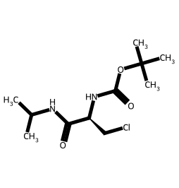 CC(C)NC(=O)[C@H](CCl)NC(=O)OC(C)(C)C